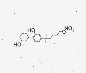 CC(C)(CCCCO[N+](=O)[O-])c1ccc([C@H]2CCC[C@@H](O)C2)c(O)c1